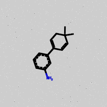 CC1(C)C=CC(c2cccc(N)c2)=CC1